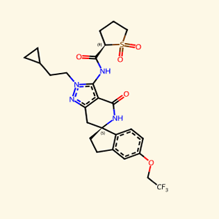 O=C1N[C@@]2(CCc3cc(OCC(F)(F)F)ccc32)Cc2nn(CCC3CC3)c(NC(=O)[C@H]3CCCS3(=O)=O)c21